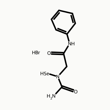 Br.NC(=O)N([SeH])CC(=O)Nc1ccccc1